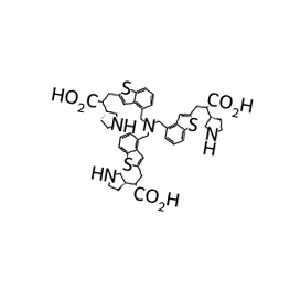 O=C(O)[C@@H](Cc1cc2c(CN(Cc3cccc4sc(C[C@H](C(=O)O)[C@H]5CCNC5)cc34)Cc3cccc4sc(C[C@H](C(=O)O)[C@H]5CCNC5)cc34)cccc2s1)[C@H]1CCNC1